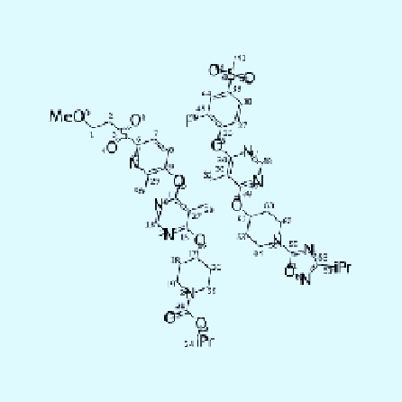 COCCS(=O)(=O)c1ccc(Oc2ncnc(OC3CCN(C(=O)OC(C)C)CC3)c2C)c(C)n1.Cc1c(Oc2ccc(S(C)(=O)=O)cc2F)ncnc1OC1CCN(c2nc(C(C)C)no2)CC1